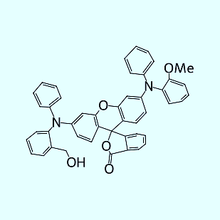 COc1ccccc1N(c1ccccc1)c1ccc2c(c1)Oc1cc(N(c3ccccc3)c3ccccc3CO)ccc1C21OC(=O)c2ccccc21